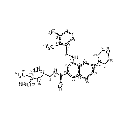 Cc1c(F)cccc1CNc1cc(C(=O)NCCO[Si](C)(C)C(C)(C)C)cc2ncc(N3CCOCC3)nc12